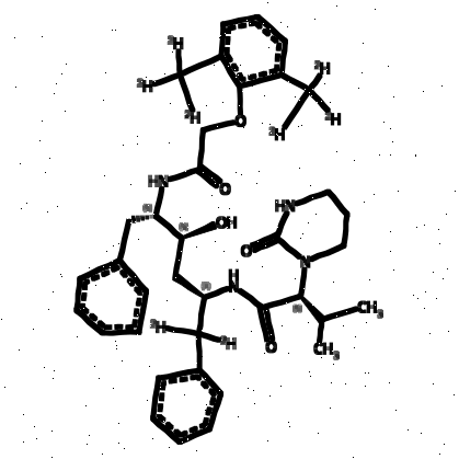 [2H]C([2H])([2H])c1cccc(C([2H])([2H])[2H])c1OCC(=O)N[C@@H](Cc1ccccc1)[C@@H](O)C[C@@H](NC(=O)[C@H](C(C)C)N1CCCNC1=O)C([2H])([2H])c1ccccc1